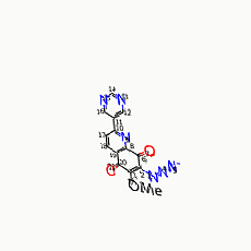 COC1=C(N=[N+]=[N-])C(=O)c2nc(-c3cncnc3)ccc2C1=O